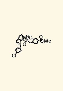 COC(=O)c1ccc(CNC(=O)c2cccc3ccn(Cc4ccc(Cl)cc4)c23)c(OC)c1